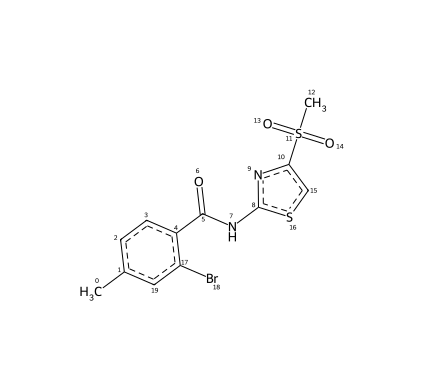 Cc1ccc(C(=O)Nc2nc(S(C)(=O)=O)cs2)c(Br)c1